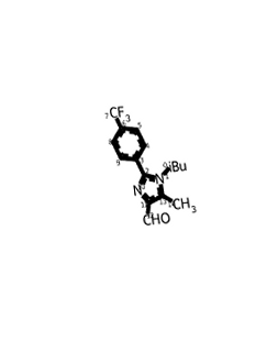 CCC(C)n1c(-c2ccc(C(F)(F)F)cc2)nc(C=O)c1C